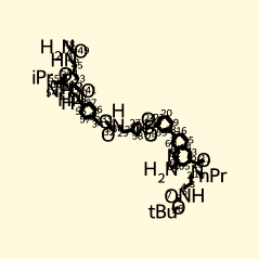 CCCN(CCCNC(=O)OC(C)(C)C)C(=O)C1=Cc2ccc(-c3cccc(S(=O)(=O)N4CC(CNC(=O)OCc5ccc(NC(=O)[C@H](CCCNC(N)=O)NC(=O)[C@@H](N)C(C)C)cc5)C4)c3)cc2N=C(N)C1